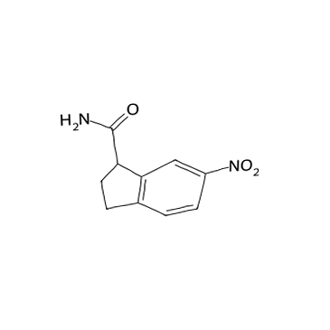 NC(=O)C1CCc2ccc([N+](=O)[O-])cc21